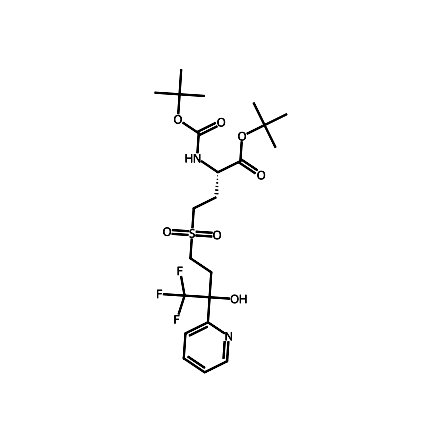 CC(C)(C)OC(=O)N[C@@H](CCS(=O)(=O)CCC(O)(c1ccccn1)C(F)(F)F)C(=O)OC(C)(C)C